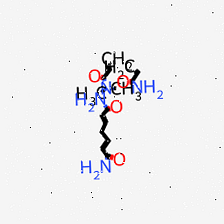 C=CC(=O)N(C)C.C=CC(N)=O.NC(=O)C=CCC=CC(N)=O